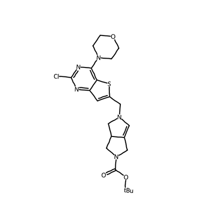 CC(C)(C)OC(=O)N1CC2=CN(Cc3cc4nc(Cl)nc(N5CCOCC5)c4s3)CC2C1